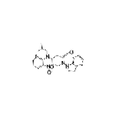 CC(C)CN(c1ncccc1[N+](=O)[O-])C1CCN(n2ccc3ccccc32)C(=C=O)C1